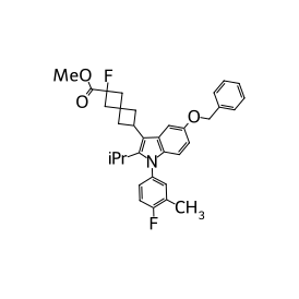 COC(=O)C1(F)CC2(CC(c3c(C(C)C)n(-c4ccc(F)c(C)c4)c4ccc(OCc5ccccc5)cc34)C2)C1